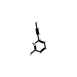 [CH2]C#Cc1cccc(C)n1